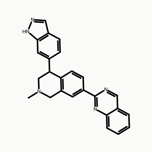 CN1Cc2cc(-c3ncc4ccccc4n3)ccc2C(c2ccc3cn[nH]c3c2)C1